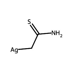 NC(=S)[CH2][Ag]